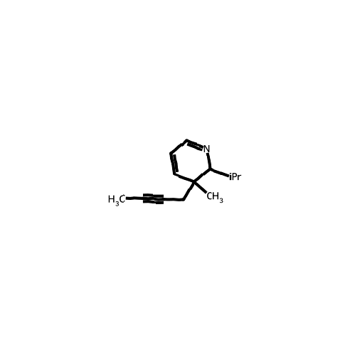 CC#CCC1(C)C=CC=NC1C(C)C